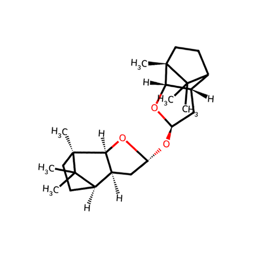 CC1(C)C2CC[C@@]1(C)[C@H]1O[C@H](O[C@@H]3C[C@H]4[C@H]5CC[C@@](C)([C@H]4O3)C5(C)C)C[C@@H]21